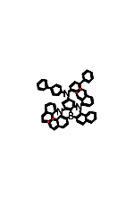 c1ccc(-c2ccc(N(c3ccc(-c4ccccc4)cc3)c3cc4c5c(c3)N(c3cccc6ccccc36)c3c(ccc6ccccc36)B5c3ccc5ccccc5c3N4c3cccc4ccccc34)cc2)cc1